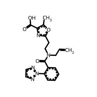 C=CCN(CCc1nc(C(=O)O)c(C)o1)C(=O)c1ccccc1-n1nccn1